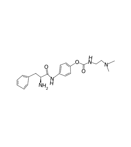 CN(C)CCNC(=O)Oc1ccc(NC(=O)[C@@H](N)Cc2ccccc2)cc1